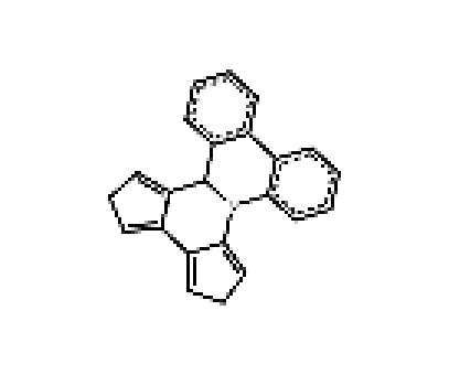 C1=C2C3=CCC=C3N3c4ccccc4-c4ccccc4C3C2=CC1